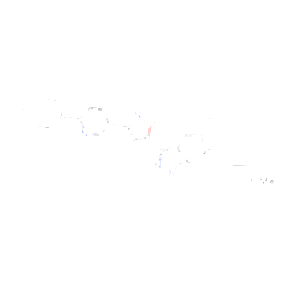 COCCOc1cc2[nH]nc(-c3cc(-c4ccc(N5CC[S+]([O-])CC5)nc4)no3)c2cc1F